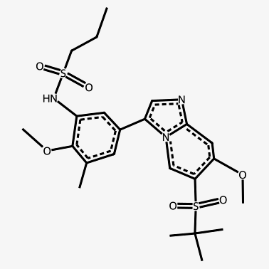 CCCS(=O)(=O)Nc1cc(-c2cnc3cc(OC)c(S(=O)(=O)C(C)(C)C)cn23)cc(C)c1OC